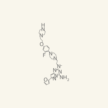 CN(CCN1CCN(c2ccc(OCCN3CCNCC3)cc2F)CC1)c1nc(N)n2nc(-c3ccco3)cc2n1